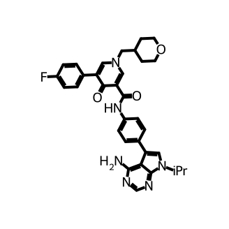 CC(C)n1cc(-c2ccc(NC(=O)c3cn(CC4CCOCC4)cc(-c4ccc(F)cc4)c3=O)cc2)c2c(N)ncnc21